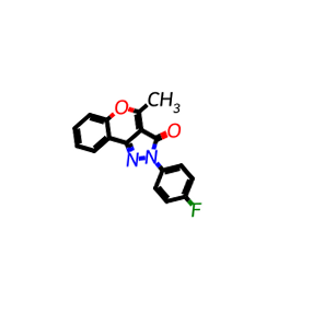 Cc1oc2ccccc2c2nn(-c3ccc(F)cc3)c(=O)c1-2